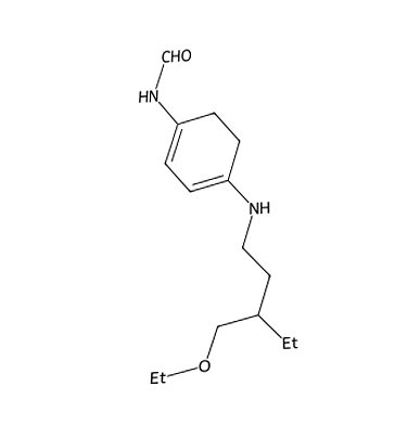 CCOCC(CC)CCNC1=CC=C(NC=O)CC1